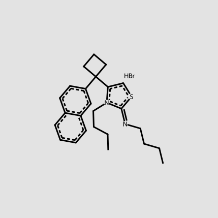 Br.CCCCN=c1scc(C2(c3ccc4ccccc4c3)CCC2)n1CCCC